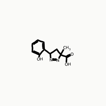 CC1(C(=O)O)CC(c2ccccc2O)N=N1